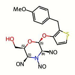 COc1ccc(Cc2sccc2O[C@@H]2O[C@H](CO)[C@H](N=O)N(N=O)[C@@H]2N=O)cc1